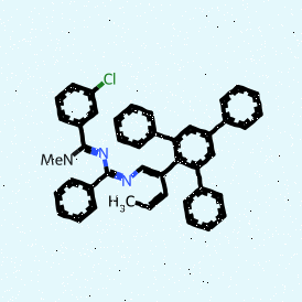 C\C=C/C(=C\N=C(/N=C(\NC)c1cccc(Cl)c1)c1ccccc1)c1c(-c2ccccc2)cc(-c2ccccc2)cc1-c1ccccc1